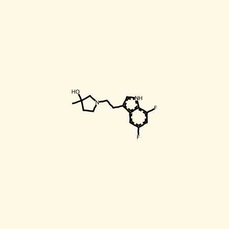 CC1(O)CCN(CCc2c[nH]c3c(F)cc(F)cc23)C1